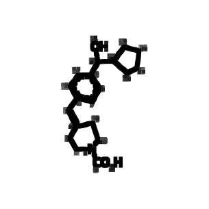 O=C(O)N1CCC(=Cc2ccc(C(O)C3CCCC3)cc2)CC1